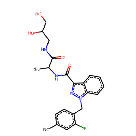 CC(C)(C)C(NC(=O)c1nn(Cc2ccc(C#N)cc2F)c2ccccc12)C(=O)NCC(O)CO